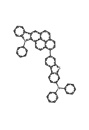 c1ccc(N(c2ccccc2)c2ccc3c(c2)sc2cc(-c4ccc5ccc6cc7c8ccccc8n(-c8ccccc8)c7c7ccc4c5c67)ccc23)cc1